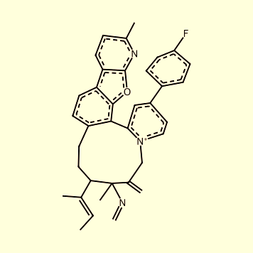 C=NC1(C)C(=C)C[n+]2ccc(-c3ccc(F)cc3)cc2-c2c(ccc3c2oc2nc(C)ccc23)CCC1/C(C)=C/C